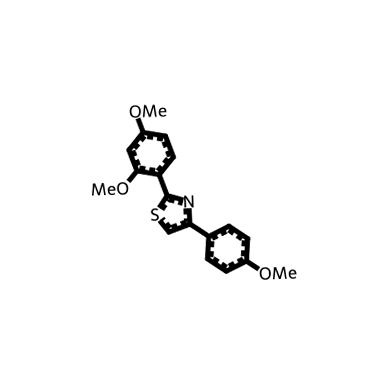 COc1ccc(-c2csc(-c3ccc(OC)cc3OC)n2)cc1